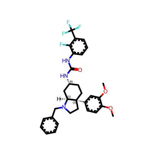 COc1ccc([C@@]23CC[C@@H](NC(=O)Nc4cccc(C(F)(F)F)c4F)C[C@@H]2N(Cc2ccccc2)CC3)cc1OC